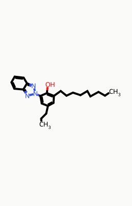 CCCCCCCCCc1cc(CCC)cc(-n2nc3ccccc3n2)c1O